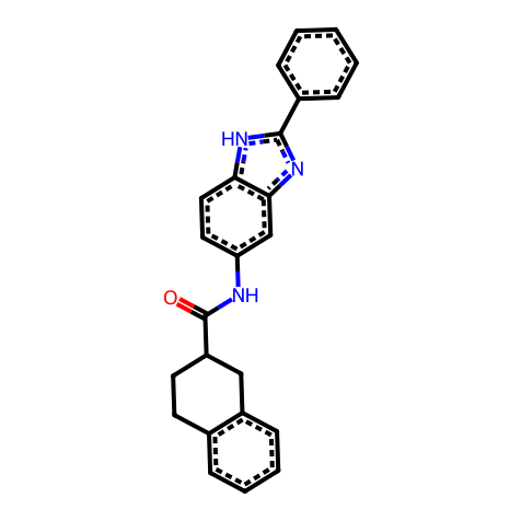 O=C(Nc1ccc2[nH]c(-c3ccccc3)nc2c1)C1CCc2ccccc2C1